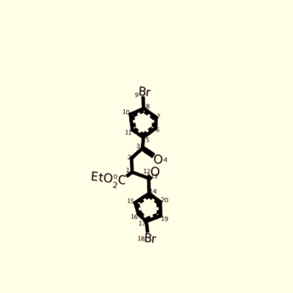 CCOC(=O)C(CC(=O)c1ccc(Br)cc1)C(=O)c1ccc(Br)cc1